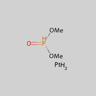 CO[PH](=O)OC.[PtH2]